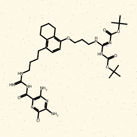 CC(C)(C)OC(=O)/N=C(\NCCCOc1ccc(CCCCNC(=N)NC(=O)c2nc(Cl)c(N)nc2N)c2c1CCCC2)NC(=O)OC(C)(C)C